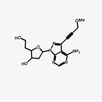 COCC#Cc1nn(C2CC(O)C(CCO)O2)c2ncnc(N)c12